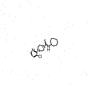 S=C(NC1CCCCCCC1)N1CCN(c2ncccc2Cl)CC1